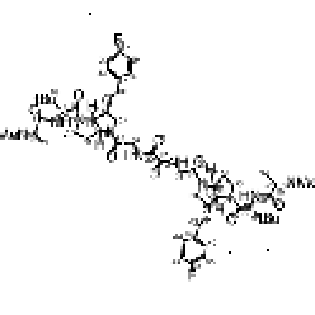 CN[C@@H](C)C(=O)N[C@H](C(=O)N1CC[C@@H]2[C@H]1[C@@H](OCc1ccc(F)cc1)CN2C(=O)CNC(=O)C(=O)NCC(=O)N1C[C@H](OCc2ccc(F)cc2)[C@@H]2[C@H]1CCN2C(=O)[C@@H](NC(=O)[C@H](C)NC)C(C)(C)C)C(C)(C)C